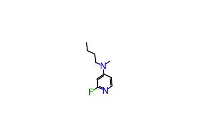 CCCCN(C)c1ccnc(F)c1